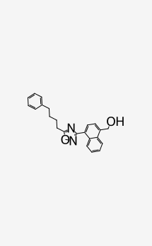 OCc1ccc(-c2noc(CCCCc3ccccc3)n2)c2ccccc12